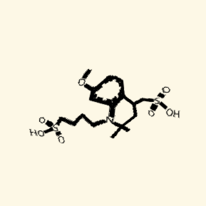 COc1ccc2c(c1)N(CCCCS(=O)(=O)O)C(C)(C)CC2CS(=O)(=O)O